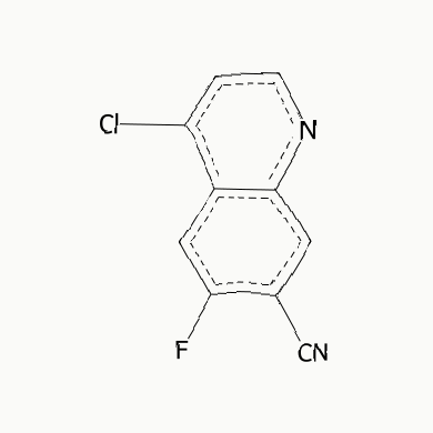 N#Cc1cc2nccc(Cl)c2cc1F